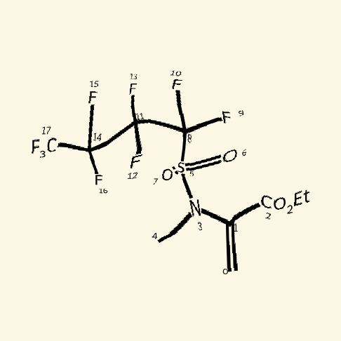 C=C(C(=O)OCC)N(C)S(=O)(=O)C(F)(F)C(F)(F)C(F)(F)C(F)(F)F